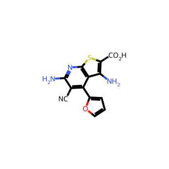 N#Cc1c(N)nc2sc(C(=O)O)c(N)c2c1-c1ccco1